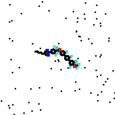 CCCCCc1cnc(-c2cc(F)c(C(F)(F)Oc3ccc(-c4ccc(-c5cc(F)c(OC(F)(F)F)c(F)c5)c(F)c4)c(F)c3)c(F)c2)nc1